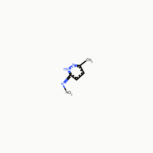 Cc1cc/c(=N\[N+](=O)[O-])[nH]n1